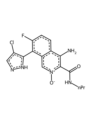 CCCNC(=O)c1c(N)c2ccc(F)c(-c3[nH]ncc3Cl)c2c[n+]1[O-]